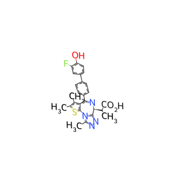 Cc1sc2c(c1C)C(c1ccc(-c3ccc(O)c(F)c3)cc1)=N[C@@H](C(C)C(=O)O)c1nnc(C)n1-2